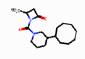 O=C(O)C1CC(=O)N1C(=O)N1CCCC(C2CCCCCCC2)C1